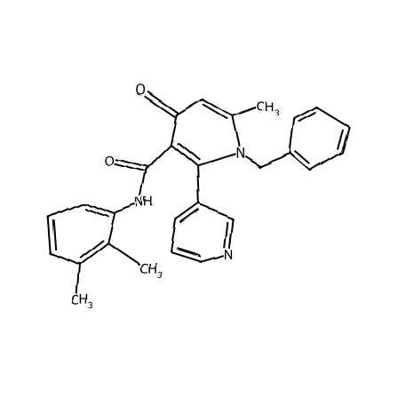 Cc1cccc(NC(=O)c2c(-c3cccnc3)n(Cc3ccccc3)c(C)cc2=O)c1C